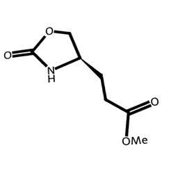 COC(=O)CC[C@@H]1COC(=O)N1